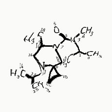 CC(C)N(C)C(=O)N1CC2(CC2)N(C(C)C)CC1C